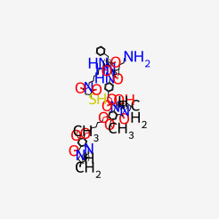 C=C1C[C@H]2C=Nc3cc(OCCCCCOc4cc5c(cc4OC)C(=O)N4CC(=C)C[C@H]4[C@H](O)N5C(=O)OCc4ccc(NC(=O)[C@H](CCCCN)NC(=O)[C@H](Cc5ccccc5)NC(=O)CCCCCN5C(=O)CC(S)C5=O)cc4)c(OC)cc3C(=O)N2C1